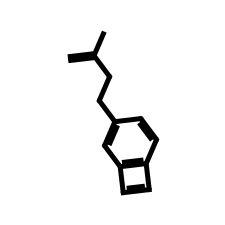 C=C(C)CCc1ccc2c(c1)C=C2